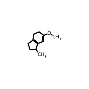 COC1=CC2=C(CC1)CCC2C